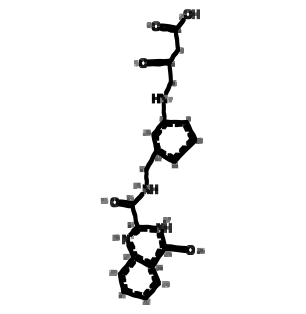 O=C(O)CC(=O)CNc1cccc(CNC(=O)c2nc3ccccc3c(=O)[nH]2)c1